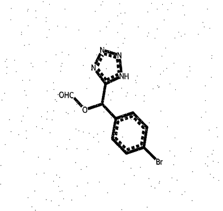 O=[C]OC(c1ccc(Br)cc1)c1nnn[nH]1